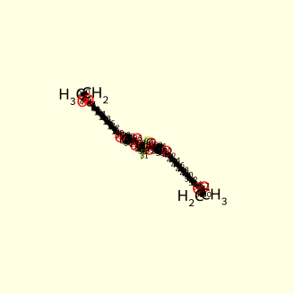 C=C(C)C(=O)OCCCCCCCCCCCCCCOc1ccc(C(=O)Oc2cc(F)c(OC(=O)c3ccc(OCCCCCCCCCCCCCCOC(=O)C(=C)C)cc3)c(F)c2)cc1